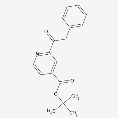 CC(C)(C)OC(=O)c1ccnc(C(=O)Cc2ccccc2)c1